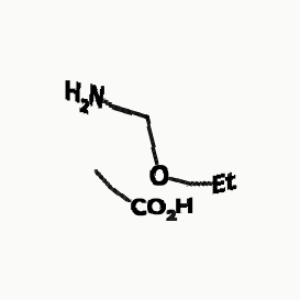 CC(=O)O.CCOCN